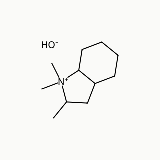 CC1CC2CCCCC2[N+]1(C)C.[OH-]